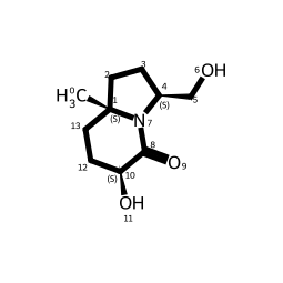 C[C@@]12CC[C@@H](CO)N1C(=O)[C@@H](O)CC2